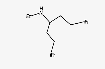 [CH2]CNC(CCC(C)C)CCC(C)C